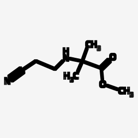 COC(=O)C(C)(C)NCCC#N